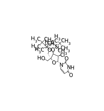 CC(C)(C)[Si](C)(C)OC[C@@]1(CO)O[C@@H](n2ccc(=O)[nH]c2=O)[C@H](Cl)[C@@H]1O[Si](C)(C)C(C)(C)C